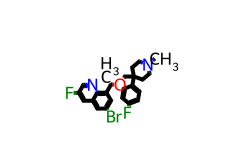 CC(OCC1(c2ccc(F)cc2)CCN(C)CC1)c1cc(Br)cc2cc(F)cnc12